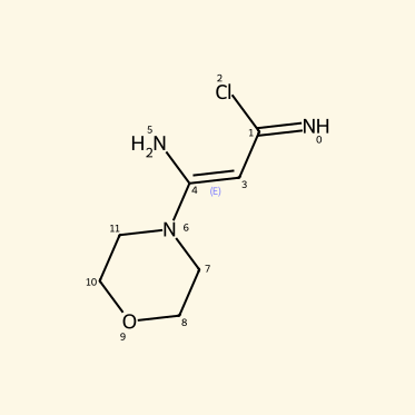 N=C(Cl)/C=C(\N)N1CCOCC1